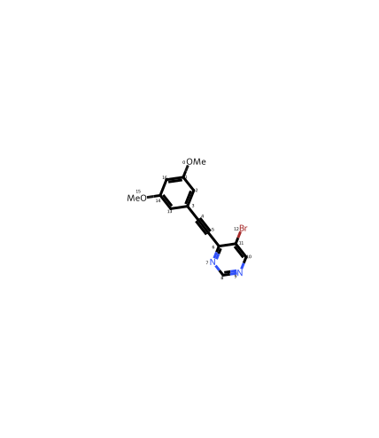 COc1cc(C#Cc2ncncc2Br)cc(OC)c1